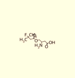 CC(C)(F)CC(=O)OCC(N)CC(=O)O